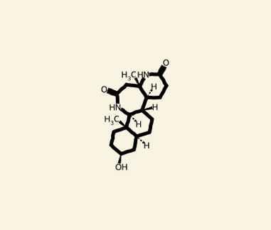 C[C@]12CC[C@H](O)C[C@@H]1CC[C@@H]1[C@@H]2NC(=O)C[C@]2(C)NC(=O)CC[C@@H]12